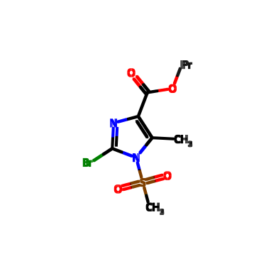 Cc1c(C(=O)OC(C)C)nc(Br)n1S(C)(=O)=O